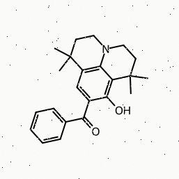 CC1(C)CCN2CCC(C)(C)c3c(O)c(C(=O)c4ccccc4)cc1c32